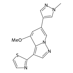 COc1cc(-c2cnn(C)c2)cn2ncc(-c3nccs3)c12